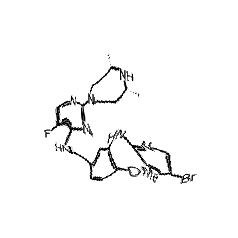 COc1ccc(Nc2nc(N3C[C@@H](C)N[C@@H](C)C3)ncc2F)cc1Nc1ccc(Br)cn1